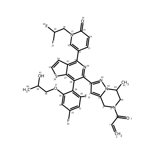 C=CC(=O)N1Cc2cc(-c3nc(-c4ccc(=O)n(CC(F)F)c4)c4ccsc4c3-c3c(F)cc(F)cc3OCC(C)O)nn2C(C)C1